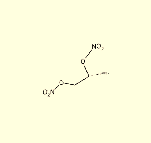 [CH2][C@H](CO[N+](=O)[O-])O[N+](=O)[O-]